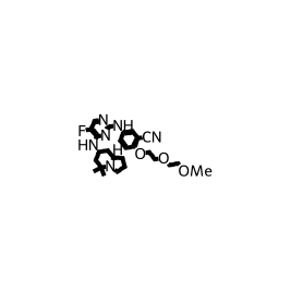 COCCOCCOc1ccc(Nc2ncc(F)c(N[C@@H]3C[C@@H]4CCCN4C(C)(C)C3)n2)cc1C#N